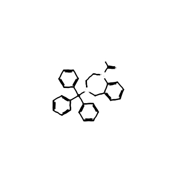 O=C(O)N1CCN(C(c2ccccc2)(c2ccccc2)c2ccccc2)Cc2ccccc21